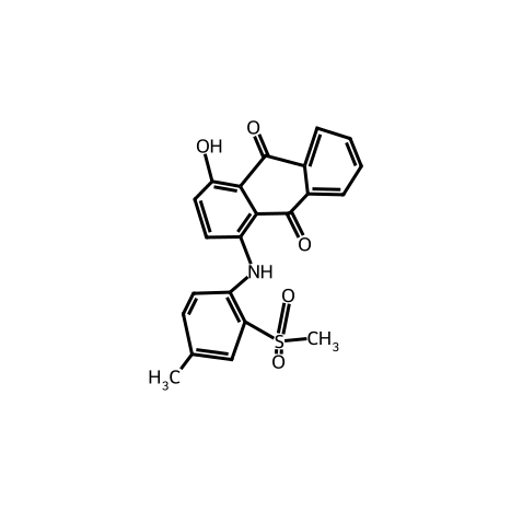 Cc1ccc(Nc2ccc(O)c3c2C(=O)c2ccccc2C3=O)c(S(C)(=O)=O)c1